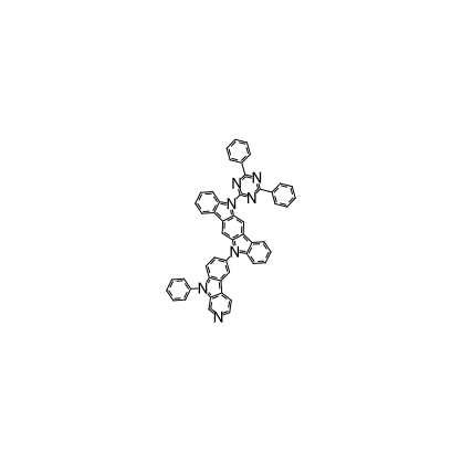 c1ccc(-c2nc(-c3ccccc3)nc(-n3c4ccccc4c4cc5c(cc43)c3ccccc3n5-c3ccc4c(c3)c3ccncc3n4-c3ccccc3)n2)cc1